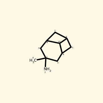 CC1(N)CC2CC3CC(C1)C32